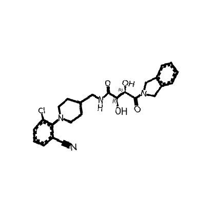 N#Cc1cccc(Cl)c1N1CCC(CNC(=O)[C@H](O)[C@@H](O)C(=O)N2Cc3ccccc3C2)CC1